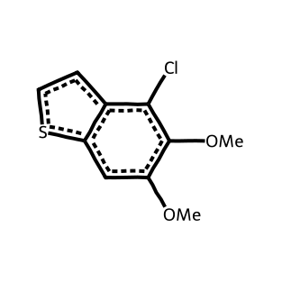 COc1cc2sccc2c(Cl)c1OC